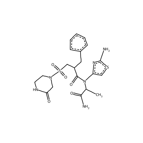 CC(C(N)=O)N(C(=O)C(Cc1ccccc1)CS(=O)(=O)N1CCNC(=O)C1)c1csc(N)n1